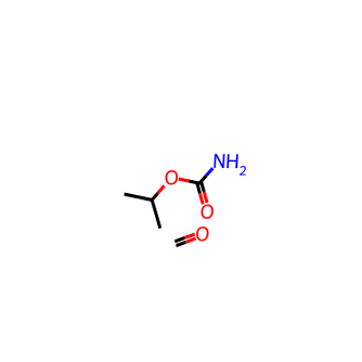 C=O.CC(C)OC(N)=O